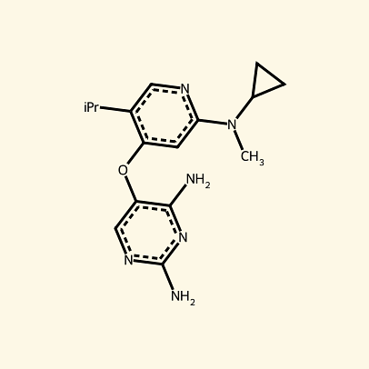 CC(C)c1cnc(N(C)C2CC2)cc1Oc1cnc(N)nc1N